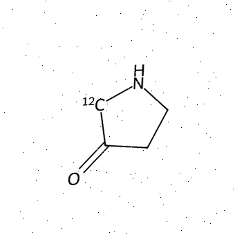 O=C1CCN[12CH2]1